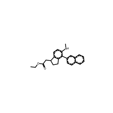 CCOC(=O)CC1CCc2c1ccc(NC)c2-c1ccc2ccccc2c1